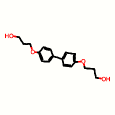 OCCCOc1ccc(-c2ccc(OCCCO)cc2)cc1